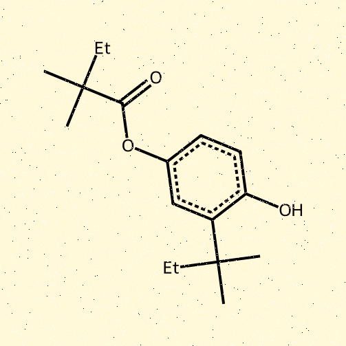 CCC(C)(C)C(=O)Oc1ccc(O)c(C(C)(C)CC)c1